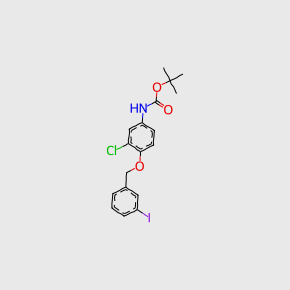 CC(C)(C)OC(=O)Nc1ccc(OCc2cccc(I)c2)c(Cl)c1